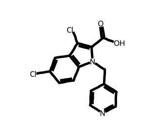 O=C(O)c1c(Cl)c2cc(Cl)ccc2n1Cc1ccncc1